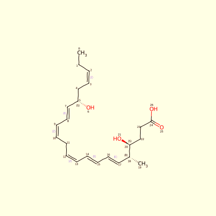 CC/C=C\C[C@H](O)/C=C/C=C\C\C=C/C=C/C=C/[C@@H](C)[C@@H](O)CCC(=O)O